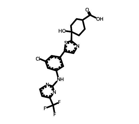 O=C(O)C1CCC(O)(c2ncc(-c3cc(Cl)cc(Nc4nccc(C(F)(F)F)n4)c3)s2)CC1